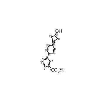 CCOC(=O)c1cncc(-c2ccc(N3CC(O)C3)nn2)c1